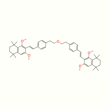 COc1cc2c(c(OC)c1C=Cc1ccc(CCOCCc3ccc(C=Cc4c(OC)cc5c(c4OC)C(C)(C)CCC5(C)C)cc3)cc1)C(C)(C)CCC2(C)C